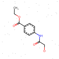 CCOC(=O)c1ccc(NC(=O)C[O])cc1